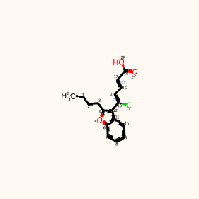 CCCCc1oc2ccccc2c1/C(Cl)=C/C=C/C(=O)O